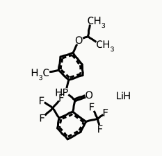 Cc1cc(OC(C)C)ccc1PC(=O)c1c(C(F)(F)F)cccc1C(F)(F)F.[LiH]